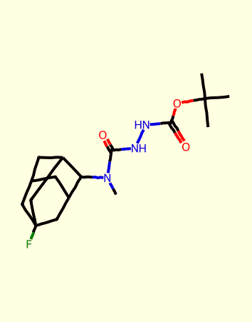 CN(C(=O)NNC(=O)OC(C)(C)C)C1C2CC3CC1CC(F)(C3)C2